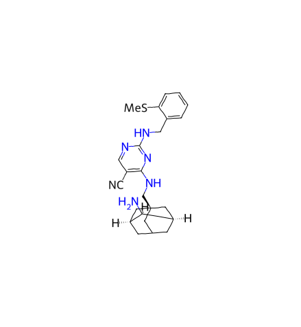 CSc1ccccc1CNc1ncc(C#N)c(NC[C@]23CC4C[C@H](C2)[C@H](N)[C@@H](C4)C3)n1